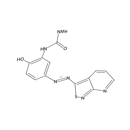 CNC(=O)Nc1cc(/N=N/c2snc3ncccc23)ccc1O